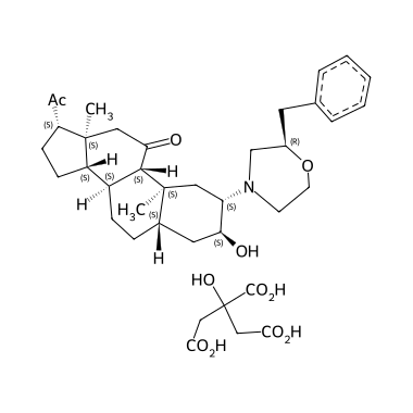 CC(=O)[C@H]1CC[C@H]2[C@@H]3CC[C@H]4C[C@H](O)[C@@H](N5CCO[C@H](Cc6ccccc6)C5)C[C@]4(C)[C@H]3C(=O)C[C@]12C.O=C(O)CC(O)(CC(=O)O)C(=O)O